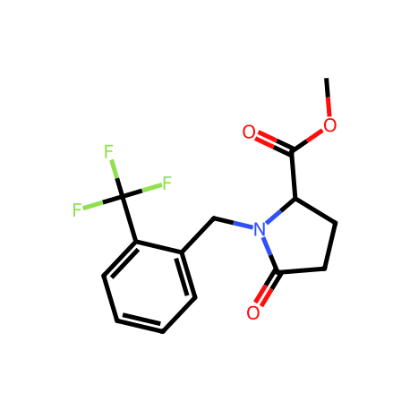 COC(=O)C1CCC(=O)N1Cc1ccccc1C(F)(F)F